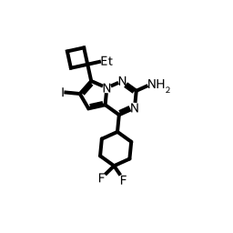 CCC1(c2c(I)cc3c(C4CCC(F)(F)CC4)nc(N)nn23)CCC1